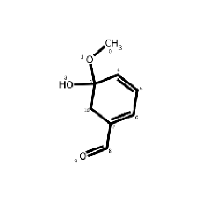 COC1(O)C=CC=C([C]=O)C1